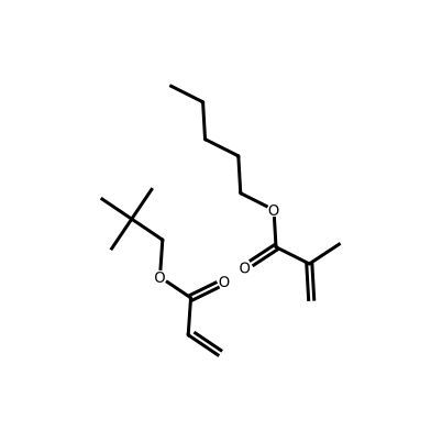 C=C(C)C(=O)OCCCCC.C=CC(=O)OCC(C)(C)C